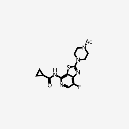 CC(=O)N1CCN(c2nc3c(F)cnc(NC(=O)C4CC4)c3s2)CC1